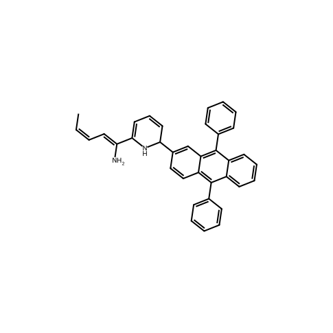 C/C=C\C=C(/N)C1=CC=CC(c2ccc3c(-c4ccccc4)c4ccccc4c(-c4ccccc4)c3c2)N1